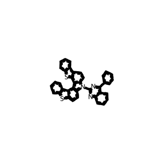 c1ccc(-c2nc(-n3c4ccc5c6ccccc6sc5c4c4c5c(ccc43)sc3ccccc35)nc3ccccc23)cc1